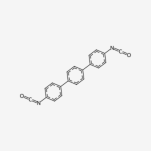 O=C=Nc1ccc(-c2ccc(-c3ccc(N=C=O)cc3)cc2)cc1